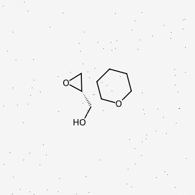 C1CCOCC1.OC[C@H]1CO1